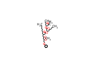 C=CCCCCCCC(CC(=O)CC(CCOc1ccccc1)OC)CC(=O)OC(CCCCC=C)CC(=O)OC(CCC=C)CC(C)=O